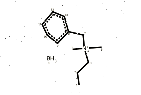 B.CCC[N+](C)(C)Cc1ccccc1